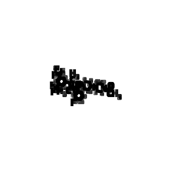 CC(=O)N1CCN([C@@H]2CCN(OC(=O)N(C)[C@H](C)c3cc(C(F)(F)F)cc(C(F)(F)F)c3)[C@@H](c3ccc(F)cc3)C2)CC1